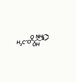 CCOC(=O)C(O)C(N)Cc1ccccc1